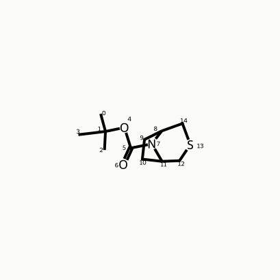 CC(C)(C)OC(=O)N1C2CCC1CSC2